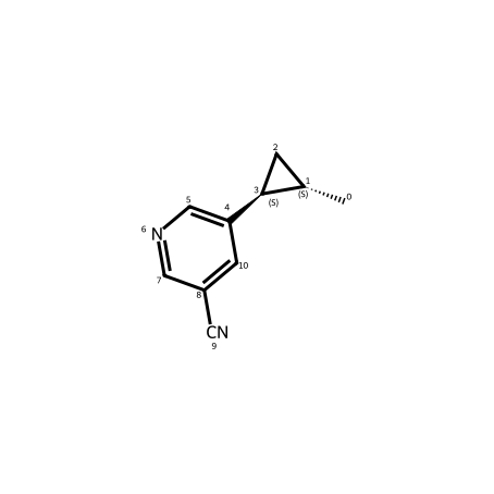 C[C@H]1C[C@@H]1c1cncc(C#N)c1